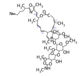 CNC(=O)OC1C(OC)COC(OC2C(O)C(COC)OC(OC3CC(OC)CC4[C@H]3C(C)=CC3/C=C/C=C/C(C)C(/C=C/c5nc(C(C)CCCC#N)oc5C)OC(=O)CC/C=C(C)\C=C\C34C)C2OC)C1O